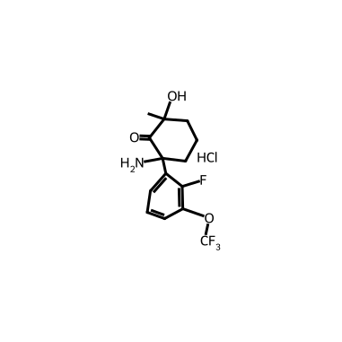 CC1(O)CCCC(N)(c2cccc(OC(F)(F)F)c2F)C1=O.Cl